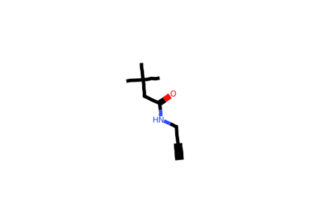 C#CCNC(=O)CC(C)(C)C